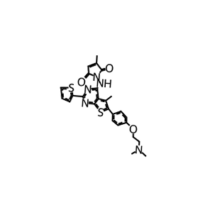 CC1=CC(=O)N(Nc2nc(-c3cccs3)nc3sc(-c4ccc(OCCN(C)C)cc4)c(C)c23)C1=O